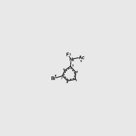 CC(=O)N(F)c1cccc(Br)c1